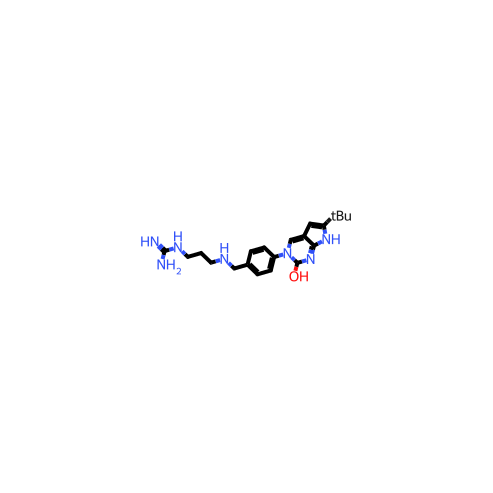 CC(C)(C)c1cc2c([nH]1)=NC(O)N(c1ccc(CNCCCNC(=N)N)cc1)C=2